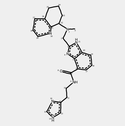 CN(Cc1nc2c(C(=O)NCCc3c[nH]cn3)cccc2[nH]1)C1CCCc2cccnc21